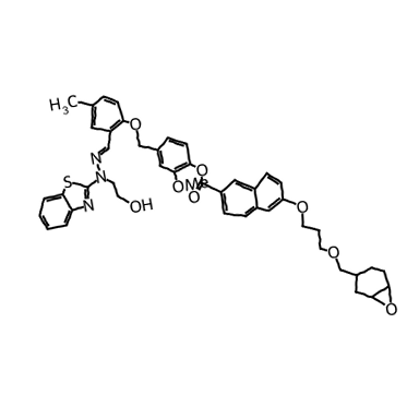 COc1cc(COc2ccc(C)cc2/C=N/N(CCO)c2nc3ccccc3s2)ccc1OC(=O)c1ccc2cc(OCCCOCC3CCC4OC4C3)ccc2c1